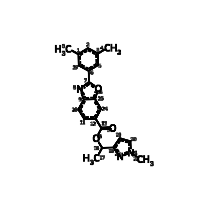 Cc1cc(C)cc(-c2nc3ccc(C(=O)OC(C)c4ccn(C)n4)cc3o2)c1